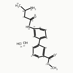 COC(=O)c1cncc(-c2cccc(NC(=O)CC(C)N)c2)c1.Cl.Cl